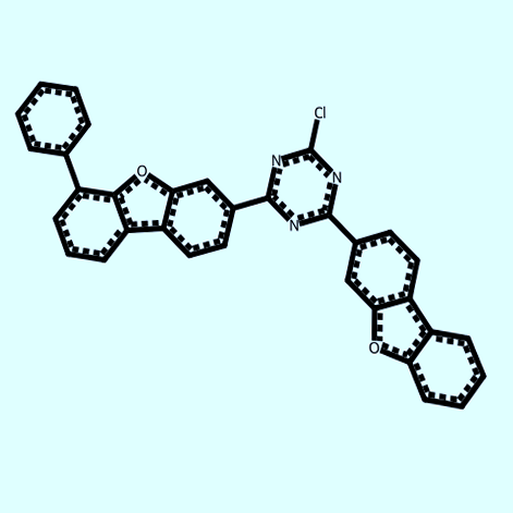 Clc1nc(-c2ccc3c(c2)oc2ccccc23)nc(-c2ccc3c(c2)oc2c(-c4ccccc4)cccc23)n1